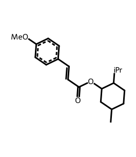 COc1ccc(C=CC(=O)OC2CC(C)CCC2C(C)C)cc1